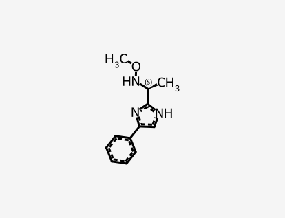 CON[C@@H](C)c1nc(-c2ccccc2)c[nH]1